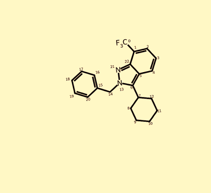 FC(F)(F)c1cccc2c(C3CCCCC3)n(Cc3ccccc3)nc12